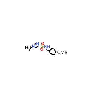 COc1ccc(CNS(=O)(=O)c2cn(C)cn2)cc1